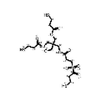 O=C(CCS)OCC(CO)(COC(=O)CCS)COC(=O)CCS(=O)(=O)C(=O)CCS